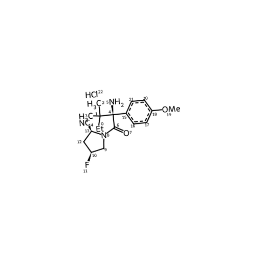 CCC(C)(C)[C@@](N)(C(=O)N1C[C@@H](F)C[C@H]1C#N)c1ccc(OC)cc1.Cl